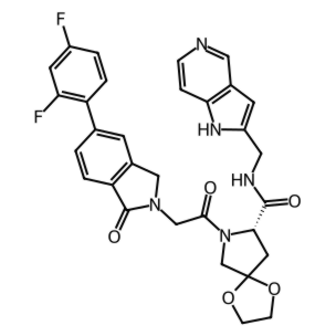 O=C(NCc1cc2cnccc2[nH]1)[C@@H]1CC2(CN1C(=O)CN1Cc3cc(-c4ccc(F)cc4F)ccc3C1=O)OCCO2